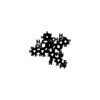 Cc1ccccc1-c1ccc2c(c1)c1cc(-c3ccccc3C)ccc1n2-c1cc(C#N)c(-c2ccc(C(F)(F)F)cc2C(F)(F)F)cc1-n1c2ccc(-c3ccccc3C)cc2c2cc(-c3ccccc3C)ccc21